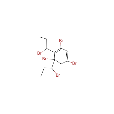 CCC(Br)C1=C(Br)C=C(Br)[CH]C1(Br)C(Br)CC